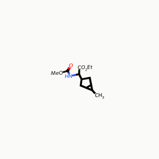 CCOC(=O)C(NC(=O)OC)C1CC2C(C)C2C1